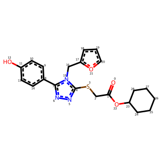 O=C(CSc1nnc(-c2ccc(O)cc2)n1Cc1ccco1)OC1CCCCC1